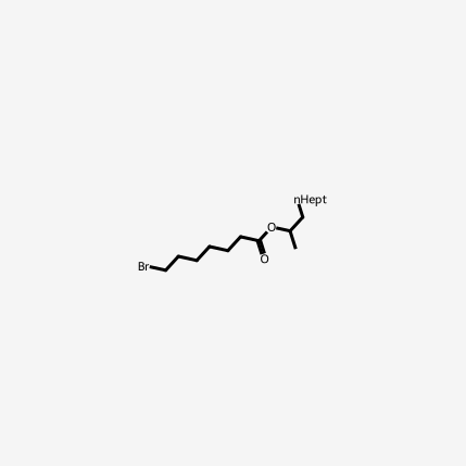 CCCCCCCCC(C)OC(=O)CCCCCCBr